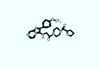 O=C(CNc1c(-c2ccc(OC(F)(F)F)cc2)nc2cnccn12)N1CCN(C(=O)C2CCCO2)CC1